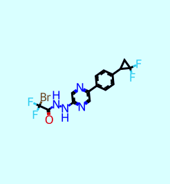 O=C(NNc1cnc(-c2ccc(C3CC3(F)F)cc2)cn1)C(F)(F)Br